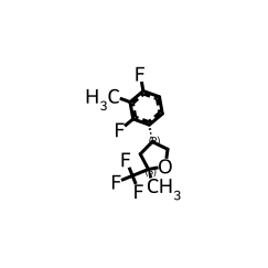 Cc1c(F)ccc([C@@H]2CO[C@](C)(C(F)(F)F)C2)c1F